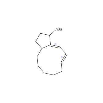 CCCCC1CCC2CCCCC/C=C/C=C/12